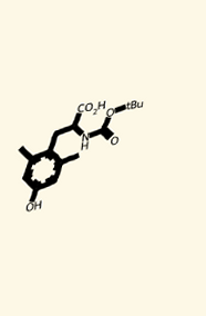 Cc1cc(O)cc(C)c1CC(NC(=O)OC(C)(C)C)C(=O)O